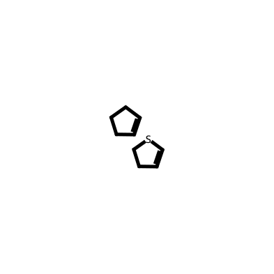 C1=CCCC1.C1=CSCC1